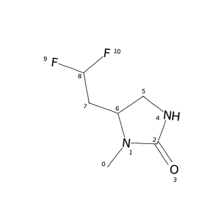 CN1C(=O)NCC1CC(F)F